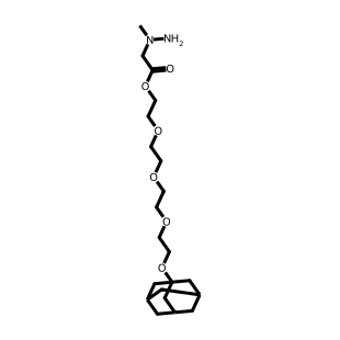 CN(N)CC(=O)OCCOCCOCCOCCOC12CC3CC(CC(C3)C1)C2